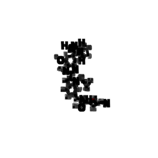 COc1cc(C(=O)N2[C@H]3CC[C@@H]2[C@H](N)C3)cc2nc(-c3cc4ccc([C@@H](C)NC(=O)C56CC(C#N)(C5)C6)cc4n3CC3CC3)n(C)c12